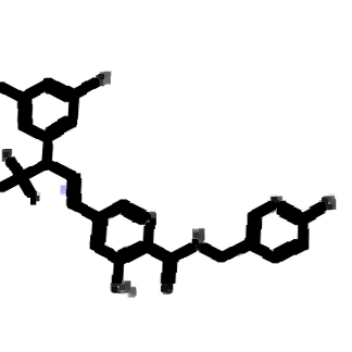 Cc1cc(/C=C/C(c2cc(Cl)cc(Cl)c2)C(F)(F)F)cnc1C(=O)NCc1ccc(Cl)nc1